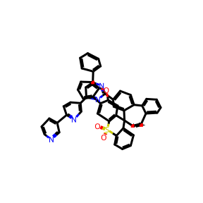 O=S1(=O)c2ccccc2C2(c3ccccc3-c3ccccc3-c3ccc(-c4nc(-c5ccccc5)cc(-c5ccc(-c6cccnc6)nc5)n4)cc32)c2cc3oc4ccccc4c3cc21